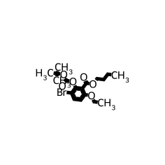 CCCCOC(=O)c1c(OCC)ccc(Br)c1OC(=O)OC(C)(C)C